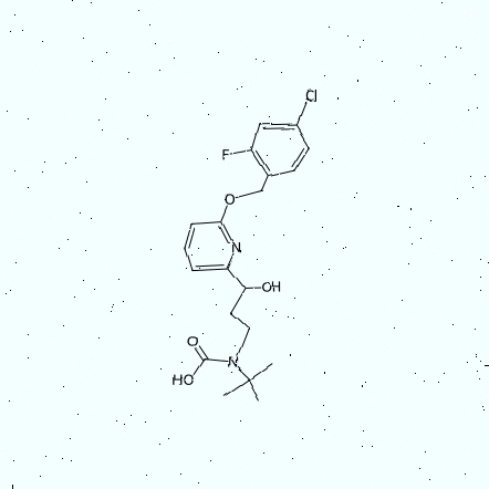 CC(C)(C)N(CCC(O)c1cccc(OCc2ccc(Cl)cc2F)n1)C(=O)O